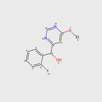 CCOc1cc(C(O)c2ccccc2F)ncn1